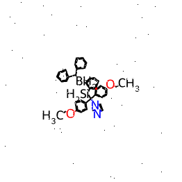 BC(c1ccccc1)c1ccccc1.CCOc1ccc(C([SiH2]c2ccccc2)(c2ccc(OCC)cc2)n2ccnc2)cc1